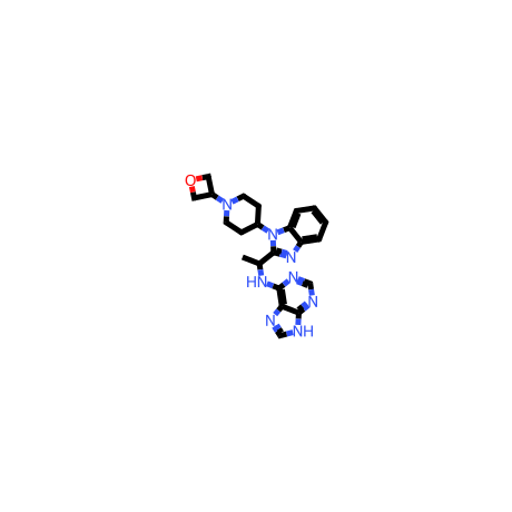 CC(Nc1ncnc2[nH]cnc12)c1nc2ccccc2n1C1CCN(C2COC2)CC1